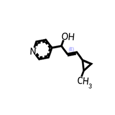 CC1CC1/C=C/C(O)c1ccncc1